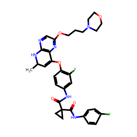 CC1C=C(Oc2ccc(NC(=O)C3(C(=O)Nc4ccc(F)cc4)CC3)cc2F)c2nc(OCCCN3CCOCC3)cnc2N1